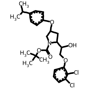 CC(C)c1ccc(OC2CC(C(O)COc3cccc(Cl)c3Cl)N(C(=O)OC(C)(C)C)C2)cc1